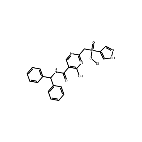 CCOP(=O)(Cc1ncc(C(=O)NC(c2ccccc2)c2ccccc2)c(O)n1)c1cn[nH]c1